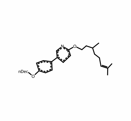 CCCCCCCCCCOc1ccc(-c2ccc(OCCC(C)CCC=C(C)C)nc2)cc1